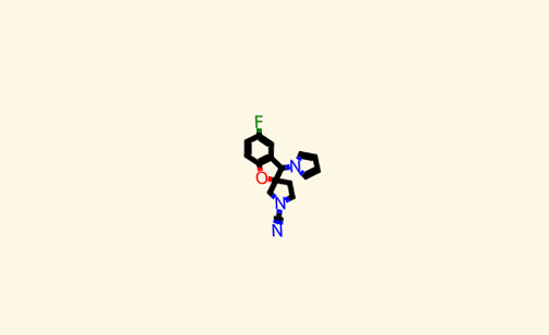 N#CN1CCC2(C1)Oc1ccc(F)cc1C2n1cccc1